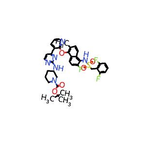 Cc1ccc2c(NS(=O)(=O)Cc3c(F)cccc3F)c(F)ccc2c1Oc1ncccc1-c1ccnc(N[C@H]2CCCN(C(=O)OC(C)(C)C)C2)n1